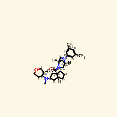 CO[C@@H]1COCC[C@@H]1N(C)[C@@H]1C[C@H]2CCC[C@@]2(C(=O)N2C[C@@H]3C[C@H]2CN3c2cc(C(F)(F)F)cc(C(F)(F)F)c2)C1